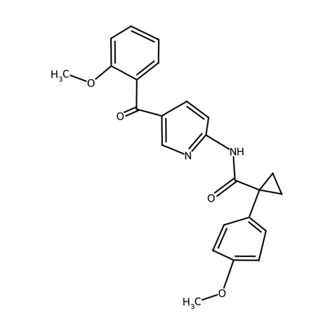 COc1ccc(C2(C(=O)Nc3ccc(C(=O)c4ccccc4OC)cn3)CC2)cc1